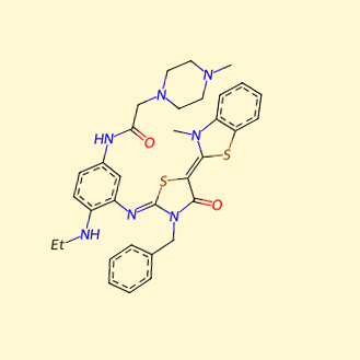 CCNc1ccc(NC(=O)CN2CCN(C)CC2)cc1N=C1SC(=C2Sc3ccccc3N2C)C(=O)N1Cc1ccccc1